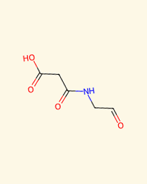 O=CCNC(=O)CC(=O)O